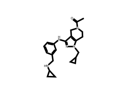 CC(=O)N1CCc2c(c(Nc3cccc(CNC4CC4)c3)nn2CC2CC2)C1